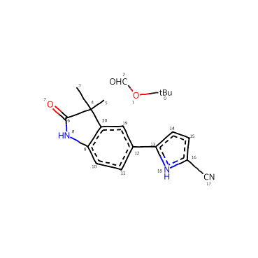 CC(C)(C)OC=O.CC1(C)C(=O)Nc2ccc(-c3ccc(C#N)[nH]3)cc21